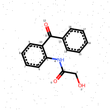 O=C(CO)Nc1ccccc1C(=O)c1ccccc1